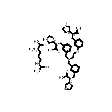 N=C(N)NCCC[C@H](N)C(=O)O.O=C(O)[C@@H](Cc1cccc(CN(CCOc2cccc(C[C@H](C(=O)O)[C@H]3CCNC3)c2)Cc2cccc(C[C@H](C(=O)O)[C@H]3CCNC3)c2)c1)[C@H]1CCNC1